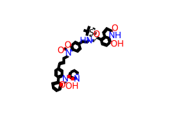 CC(C)(C)[Si](C)(C)O[C@@H](CNCCc1ccc2c(c1)oc(=O)n2CCC=Cc1ccc(-c2ccccc2)c(N(C(=O)O)C2CN3CCC2CC3)c1)c1ccc(O)c2[nH]c(=O)ccc12